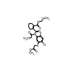 CCC(=O)N(C(=O)C1=C(C(=O)OCOC)CCCC1)c1cc(SCC(=O)OC)c(Cl)cc1F